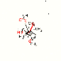 CO[C@@H]1CCC23CC[C@@H](C)[C@](C)(C12)[C@H](O)C[C@@](C)(COC(C)=O)C(=O)[C@@H]3C